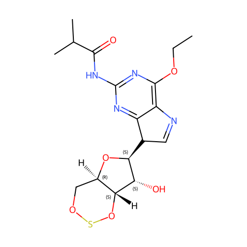 CCOc1nc(NC(=O)C(C)C)nc2c1N=CC2[C@@H]1O[C@@H]2COSO[C@H]2[C@H]1O